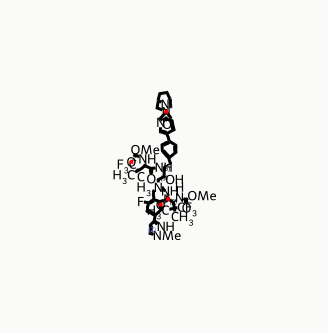 CN/C=C\C(=N)c1cc(F)c(CN(C[C@H](O)[C@H](Cc2ccc(-c3ccc(N4CC5CCC(C4)N5C4COC4)nc3)cc2)NC(=O)C(NC(=O)OC)C(C)(C)C(F)(F)F)NC(=O)[C@@H](NC(=O)OC)C(C)(C)C(F)(F)F)c(F)c1